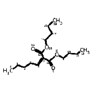 CCCCC=C(C(=O)OCCCC)C(=O)OCCCC